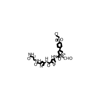 Cn1cc(NC(=O)c2cc(NC(=O)C3=CC(c4ccc(S(=O)(=O)CCCl)cc4)=C[N+]3(C)NC=O)cn2C)cc1C(=O)NCCC(N)=O